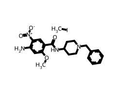 CI.COc1cc(N)c([N+](=O)[O-])cc1C(=O)NC1CCN(Cc2ccccc2)CC1